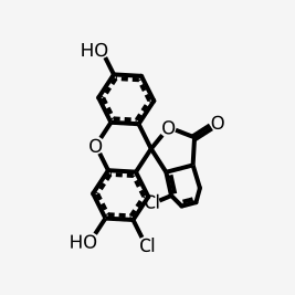 O=C1OC2(C3=C(Cl)C=CCC13)c1ccc(O)cc1Oc1cc(O)c(Cl)cc12